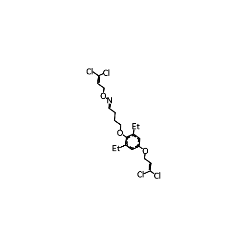 CCc1cc(OCC=C(Cl)Cl)cc(CC)c1OCCC/C=N/OCC=C(Cl)Cl